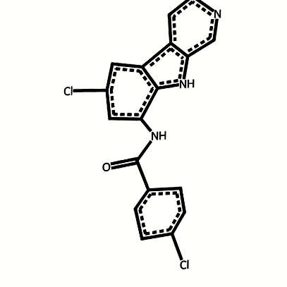 O=C(Nc1cc(Cl)cc2c1[nH]c1cnccc12)c1ccc(Cl)cc1